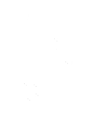 CN(C(=O)C(NC(=O)/C=C/c1c(-n2ncnn2)ccc(Cl)c1F)c1ccccc1)c1ccc(CC(=O)O)cc1